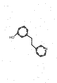 Oc1cccc(CCc2cccnc2)c1